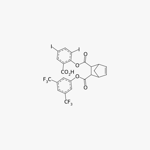 O=C(O)c1cc(I)cc(I)c1OC(=O)C1C2C=CC(C2)C1C(=O)Oc1cc(C(F)(F)F)cc(C(F)(F)F)c1